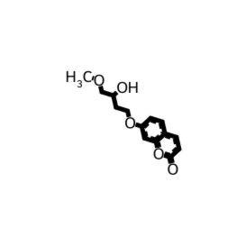 COCC(O)CCOc1ccc2ccc(=O)oc2c1